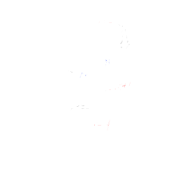 Oc1cccnc1O.c1cocn1